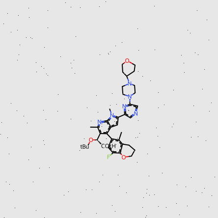 Cc1nc2c(cc(-c3cncc(N4CCN(C5CCOCC5)CC4)n3)n2C)c(-c2cc(F)c3c(c2C)CCCO3)c1[C@H](OC(C)(C)C)C(=O)O